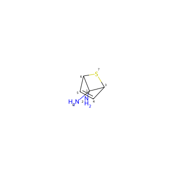 NC1(N)C2C=CC1S2